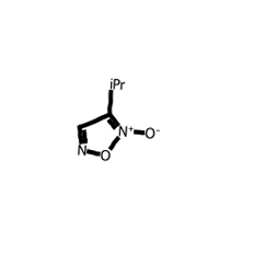 CC(C)c1cno[n+]1[O-]